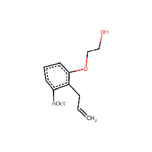 C=CCc1c(CCCCCCCC)cccc1OCCO